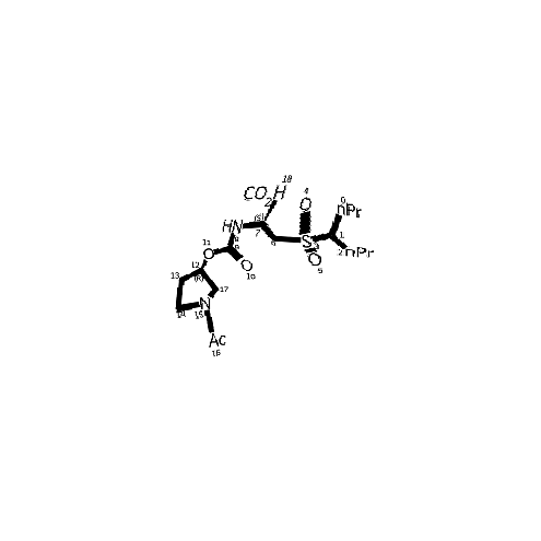 CCCC(CCC)S(=O)(=O)C[C@@H](NC(=O)O[C@@H]1CCN(C(C)=O)C1)C(=O)O